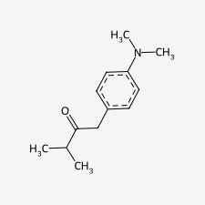 CC(C)C(=O)Cc1ccc(N(C)C)cc1